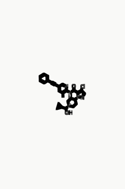 Cc1cc(C#Cc2ccccc2)cnc1NC(=O)c1c(Cl)cnn1C1CCN(C(O)C2CC2)CC1